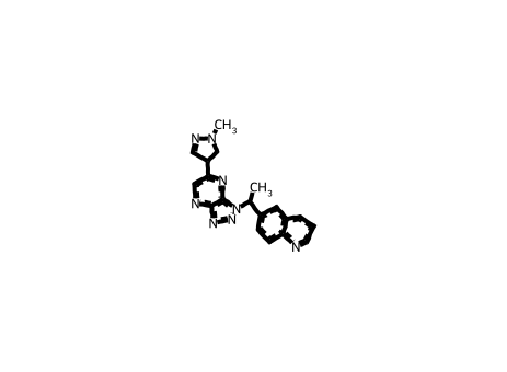 CC(c1ccc2ncccc2c1)n1nnc2ncc(C3C=NN(C)C3)nc21